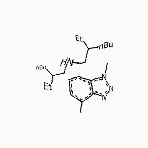 CCCCC(CC)CNCC(CC)CCCC.Cc1cccc2c1nnn2C